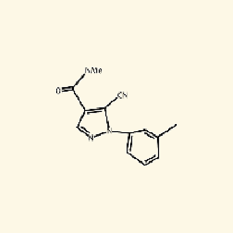 CNC(=O)c1cnn(-c2cccc(C)c2)c1C#N